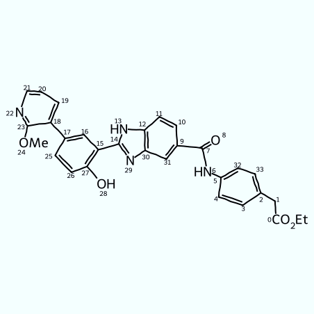 CCOC(=O)Cc1ccc(NC(=O)c2ccc3[nH]c(-c4cc(-c5cccnc5OC)ccc4O)nc3c2)cc1